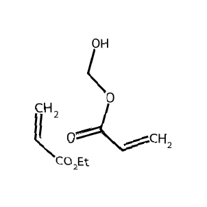 C=CC(=O)OCC.C=CC(=O)OCO